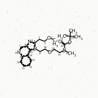 COCCc1nc2cnc3ccccc3c2n1CCOCCN(C)C(=O)OC(C)(C)C